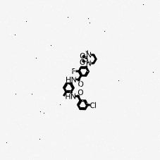 Cc1ccc(NC(=O)c2ccc(N3CCCN(C)S3(=O)=O)cc2F)cc1NC(=O)c1cccc(Cl)c1